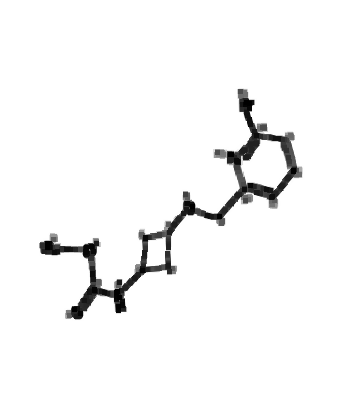 CC(C)(C)OC(=O)NC1CC(OCc2cccc(Br)n2)C1